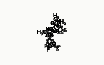 C[C@H](N)C(=O)NCC(NC(=O)c1nc(-c2ccc(OC(F)F)c(OCC3CC3)c2)oc1[C@H](C)N)c1ccc(F)cc1F